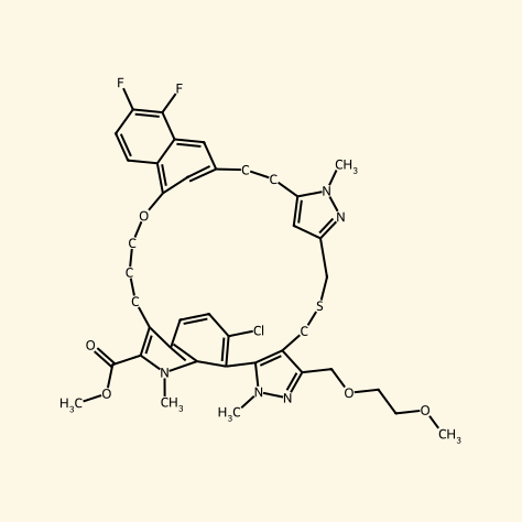 COCCOCc1nn(C)c2c1CSCc1cc(n(C)n1)CCc1cc(c3ccc(F)c(F)c3c1)OCCCc1c(C(=O)OC)n(C)c3c-2c(Cl)ccc13